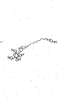 CCCCCCCCCCCCCCCCCCCC/C=C/OCC(O)CO[C@@H]1[C@@H](O)[C@@H](O)[C@@H](CO)O[C@H]1O